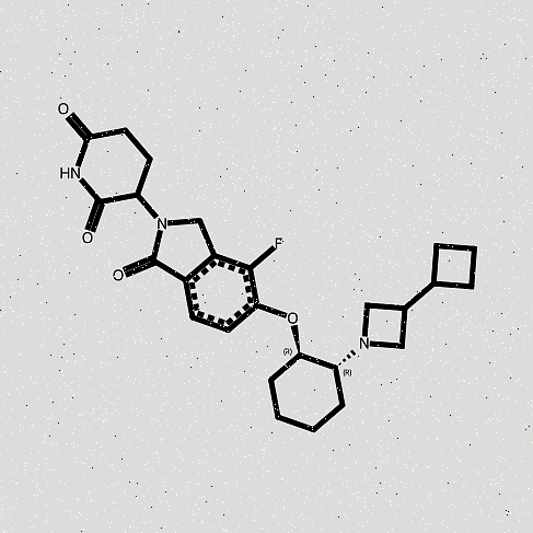 O=C1CCC(N2Cc3c(ccc(O[C@@H]4CCCC[C@H]4N4CC(C5CCC5)C4)c3F)C2=O)C(=O)N1